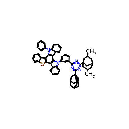 CC1CC2CC(C)CC(c3nc(-c4cccc(-n5c6ccccc6c6c7sc8ccccc8c7c7c(c8ccccc8n7-c7ccccc7)c65)c4)nc(C45CC6CC(CC(C6)C4)C5)n3)(C1)C2